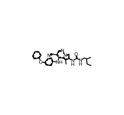 CCC(C)CNC(=O)Nc1cn2ncc(C#N)c(Nc3ccc(Oc4ccccc4)cc3)c2c1C